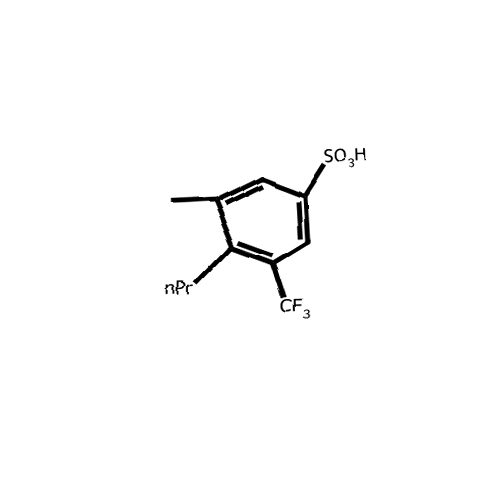 CCCc1c(C)cc(S(=O)(=O)O)cc1C(F)(F)F